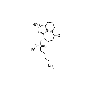 CCOP(=O)(CCCCN)C[C@H]1CCC(=O)N2CCC[C@@H](C(=O)O)N2C1=O